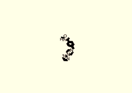 CC(=O)NC(C)c1ccc(CN2CCN(c3ncccn3)CC2)cc1